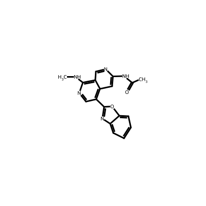 CNc1ncc(-c2nc3ccccc3o2)c2cc(NC(C)=O)ncc12